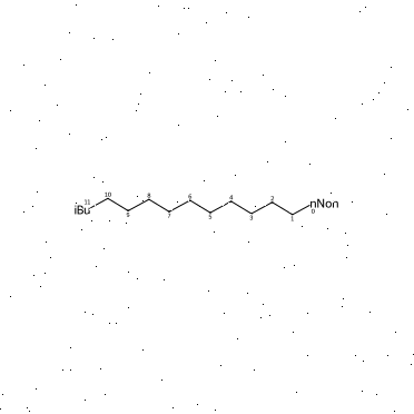 [CH2]CCCCCCCCCCCCCCCCCCC(C)C[CH2]